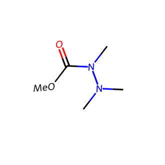 COC(=O)N(C)N(C)C